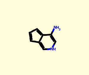 Nc1c[nH]cc2cccc1-2